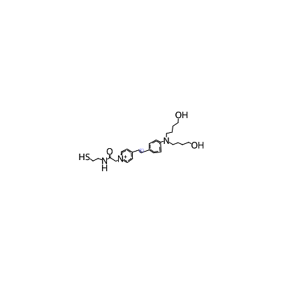 O=C(C[n+]1ccc(/C=C/c2ccc(N(CCCCO)CCCCO)cc2)cc1)NCCS